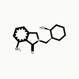 Nc1cccc2c1C(=O)N(C[C@@H]1CCCC[C@@H]1O)C2